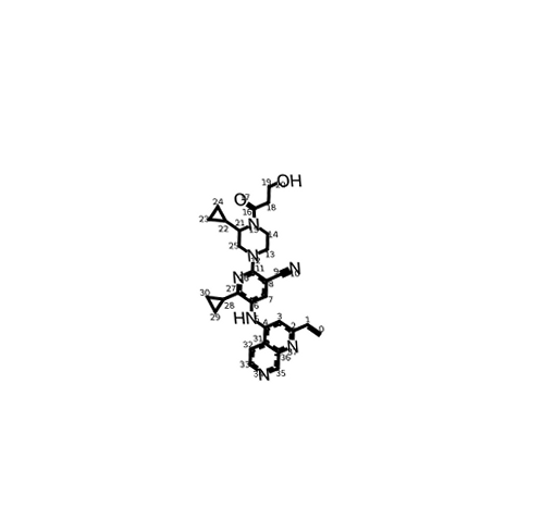 C=Cc1cc(Nc2cc(C#N)c(N3CCN(C(=O)CCO)C(C4CC4)C3)nc2C2CC2)c2ccncc2n1